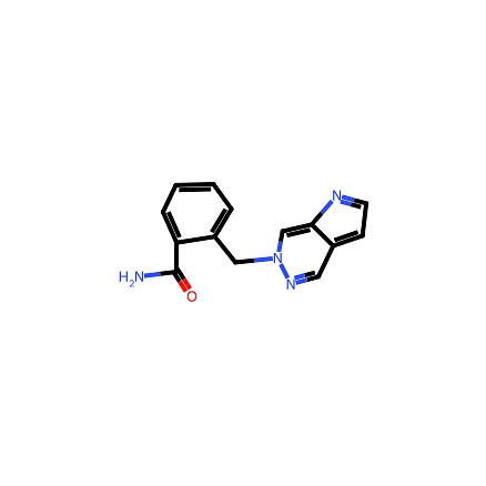 NC(=O)c1ccccc1Cn1cc2nccc-2cn1